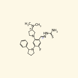 CN(C)[C@@H]1CCN(c2cc(N3CCCC3c3ccccc3)c(F)cc2/C=N/NC(N)=S)C1